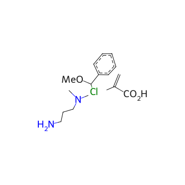 C=C(C)C(=O)O.CN(C)CCCN.COC(Cl)c1ccccc1